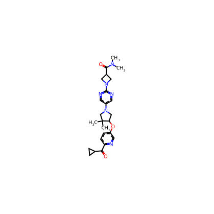 CN(C)C(=O)C1CN(c2ncc(N3CC(Oc4ccc(C(=O)C5CC5)nc4)C(C)(C)C3)cn2)C1